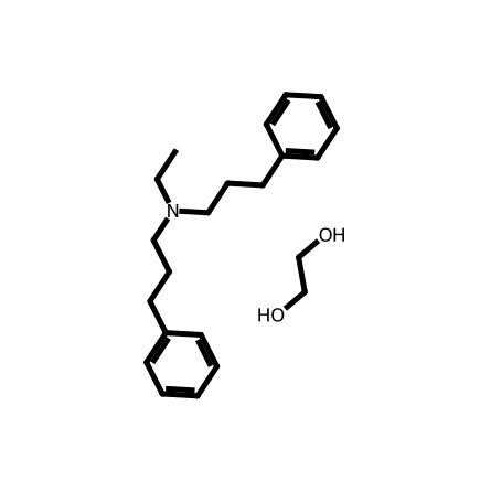 CCN(CCCc1ccccc1)CCCc1ccccc1.OCCO